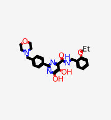 CCOc1ccccc1CNC(=O)c1nc(-c2ccc(CN3CCOCC3)cc2)nc(O)c1O